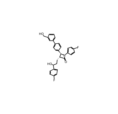 O=C1[C@H](CC[C@H](O)c2ccc(F)cc2)[C@@H](c2ccc(-c3cccc(CO)c3)cc2)N1c1ccc(F)cc1